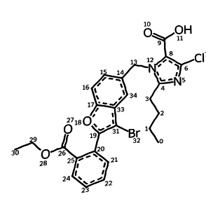 CCCCc1nc(Cl)c(C(=O)O)n1Cc1ccc2oc(-c3ccccc3C(=O)OCC)c(Br)c2c1